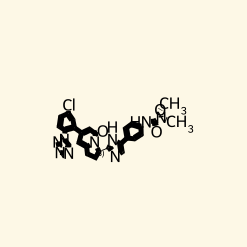 CON(C)C(=O)Nc1ccc(-c2cnc([C@@H]3CCc4cc(-c5cc(Cl)ccc5-n5cnnn5)cc(=O)n43)[nH]2)cc1